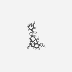 COc1ccc2c3c1O[C@H]1C[C@@H](OC(=O)C4=CN(C)C=CC4)C=C[C@@]31CCN(C)C2